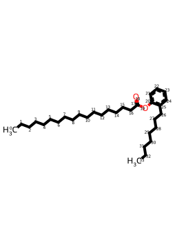 CCCCCCCCCCCCCCCCCC(=O)Oc1ccccc1CCCCCCCC